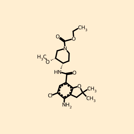 CCOC(=O)N1CC[C@H](NC(=O)c2cc(Cl)c(N)c3c2OC(C)(C)C3)[C@H](OC)C1